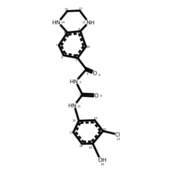 O=C(NC(=O)c1ccc2c(c1)NCCN2)Nc1ccc(O)c(Cl)c1